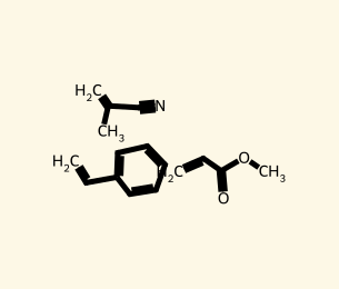 C=C(C)C#N.C=CC(=O)OC.C=Cc1ccccc1